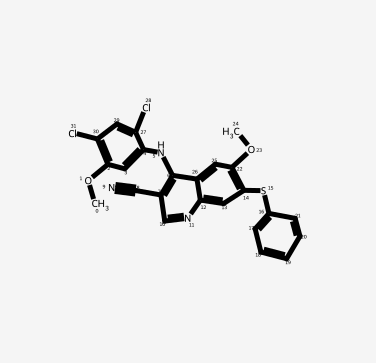 COc1cc(Nc2c(C#N)cnc3cc(Sc4ccccc4)c(OC)cc23)c(Cl)cc1Cl